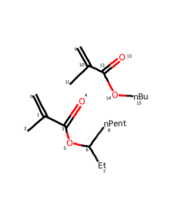 C=C(C)C(=O)OC(CC)CCCCC.C=C(C)C(=O)OCCCC